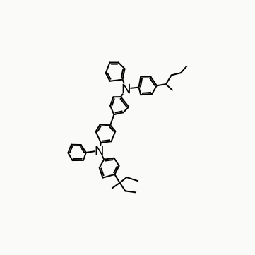 CCCC(C)c1ccc(N(c2ccccc2)c2ccc(-c3ccc(N(c4ccccc4)c4ccc(C(C)(CC)CC)cc4)cc3)cc2)cc1